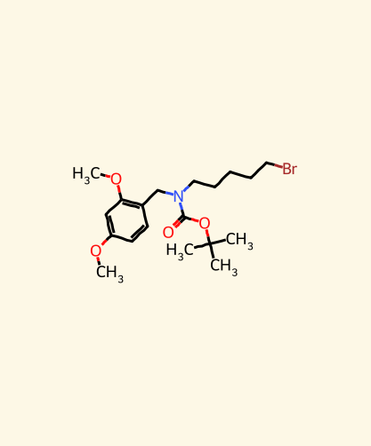 COc1ccc(CN(CCCCCBr)C(=O)OC(C)(C)C)c(OC)c1